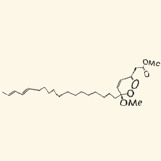 C/C=C/C=C/CCCCCCCCCCCCC[C@]1(OC)C=C[C@@H](CC(=O)OC)OO1